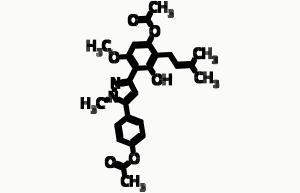 COc1cc(OC(C)=O)c(CC=C(C)C)c(O)c1-c1cc(-c2ccc(OC(C)=O)cc2)n(C)n1